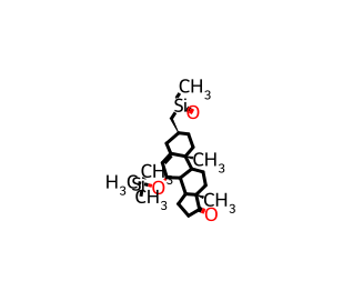 CC[Si](=O)C[C@H]1CC[C@@]2(C)C(=C[C@H](O[Si](C)(C)C)C3C2CC[C@]2(C)C(=O)CCC32)C1